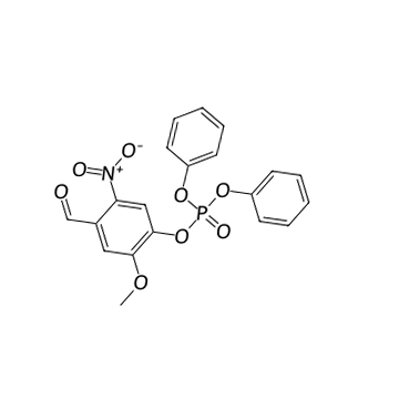 COc1cc(C=O)c([N+](=O)[O-])cc1OP(=O)(Oc1ccccc1)Oc1ccccc1